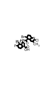 Cc1cc2c(C(=O)NC(C)(CCC(=O)O)c3c(F)ccc(F)c3Cl)c(Br)ccc2nc1Cl